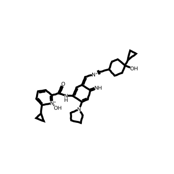 N=C1C=C(N2CCCC2)C(NC(=O)c2cccc(C3CC3)[n+]2O)=C/C1=C/[N+]#CC1CCC(O)(C2CC2)CC1